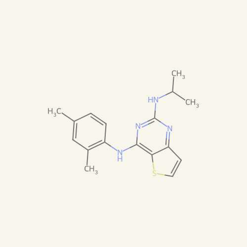 Cc1ccc(Nc2nc(NC(C)C)nc3ccsc23)c(C)c1